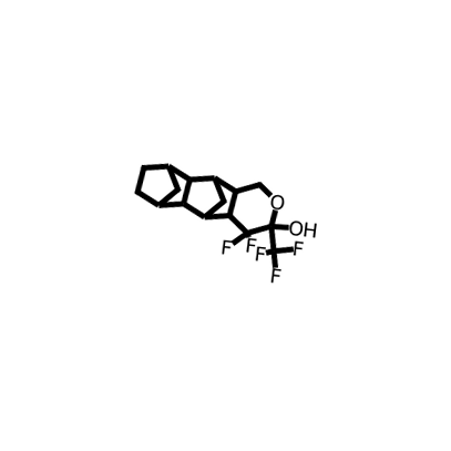 OC1(C(F)(F)F)OCC2C3CC(C4C5CCC(C5)C34)C2C1(F)F